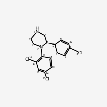 ClC1=CCC([C@@H]2CNCCN2c2ccc(Cl)cc2Cl)C=C1